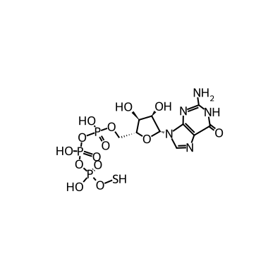 Nc1nc2c(ncn2[C@@H]2O[C@H](COP(=O)(O)OP(=O)(O)OP(=O)(O)OS)[C@@H](O)[C@H]2O)c(=O)[nH]1